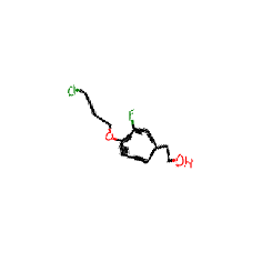 OCCc1ccc(OCCCCl)c(F)c1